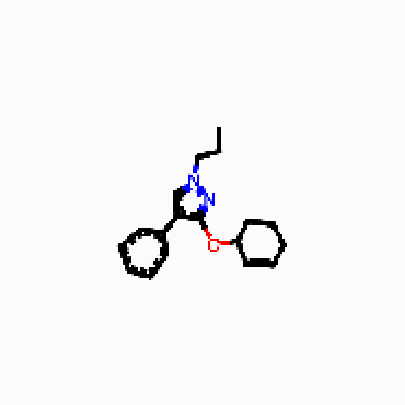 C[CH]Cn1cc(-c2ccccc2)c(OC2C=CCCC2)n1